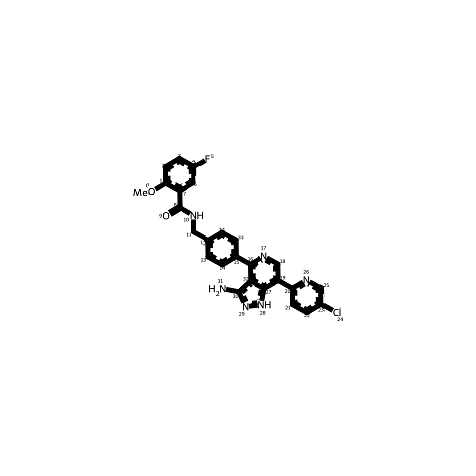 COc1ccc(F)cc1C(=O)NCc1ccc(-c2ncc(-c3ccc(Cl)cn3)c3[nH]nc(N)c23)cc1